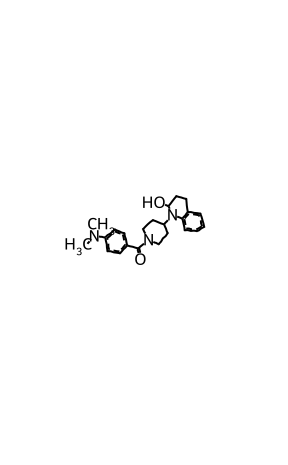 CN(C)c1ccc(C(=O)N2CCC(N3c4ccccc4CCC3O)CC2)cc1